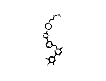 COCCN1CCN(c2nc(-c3cccc(Cn4nc(-c5cc(F)c(F)c(F)c5)ccc4=O)c3)no2)CC1